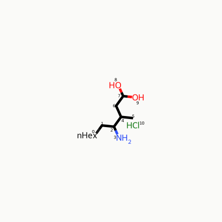 CCCCCCCC(N)C(C)CC(O)O.Cl